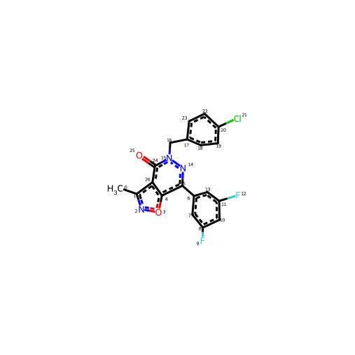 Cc1noc2c(-c3cc(F)cc(F)c3)nn(Cc3ccc(Cl)cc3)c(=O)c12